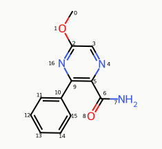 COc1cnc(C(N)=O)c(-c2ccccc2)n1